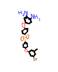 Cc1cc(Br)cc(Oc2ccc(S(=O)(=O)c3ccc(Oc4ccc(N)c(N)c4)cc3)cc2)c1